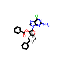 CC[C@H]1O[C@@H](n2cnc3c(Cl)nc(N)nc32)C(OC(=O)c2ccccc2)[C@H]1CCc1ccccc1